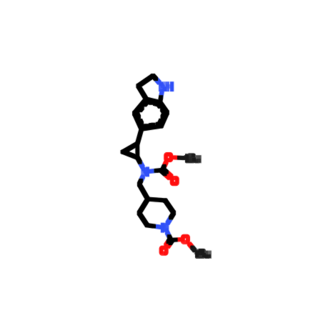 CC(C)(C)OC(=O)N1CCC(CN(C(=O)OC(C)(C)C)C2CC2c2ccc3c(c2)CCN3)CC1